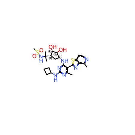 Cc1nc(NC2CCC2)nc(N[C@@H]2C[C@H](C(C)(C)NS(C)(=O)=O)[C@@H](O)[C@H]2O)c1-c1nc2c(C)nccc2s1